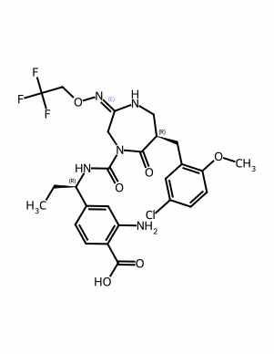 CC[C@@H](NC(=O)N1C/C(=N\OCC(F)(F)F)NC[C@@H](Cc2cc(Cl)ccc2OC)C1=O)c1ccc(C(=O)O)c(N)c1